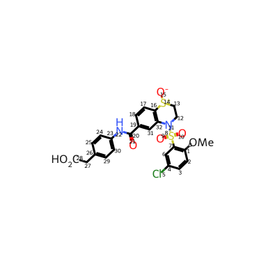 COc1ccc(Cl)cc1S(=O)(=O)N1CC[S+]([O-])c2ccc(C(=O)Nc3ccc(CC(=O)O)cc3)cc21